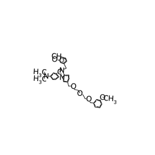 COc1cccc(COCCOCCOCc2ccc(N(Cc3cccc(OC)c3)Cc3cccc(N(C)C)c3)nc2)c1